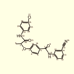 CC(Oc1ccc(C(=O)Nc2cccc(C#N)c2)cc1)C(=O)Nc1ccc(Cl)cc1